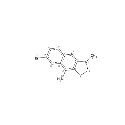 CN1CCc2c1nc1ccc(Br)cc1c2N